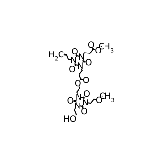 C=CCn1c(=O)n(CCC(=O)OC)c(=O)n(CCC(=O)OCCn2c(=O)n(CCO)c(=O)n(CCOC)c2=O)c1=O